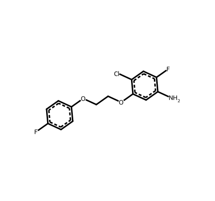 Nc1cc(OCCOc2ccc(F)cc2)c(Cl)cc1F